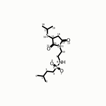 CC(C)CCS(=O)(=O)NCCN1C(=O)CC(SC(C)C)C1=O